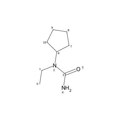 CCN(C(N)=O)C1CCCC1